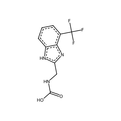 O=C(O)NCc1nc2c(C(F)(F)F)cccc2[nH]1